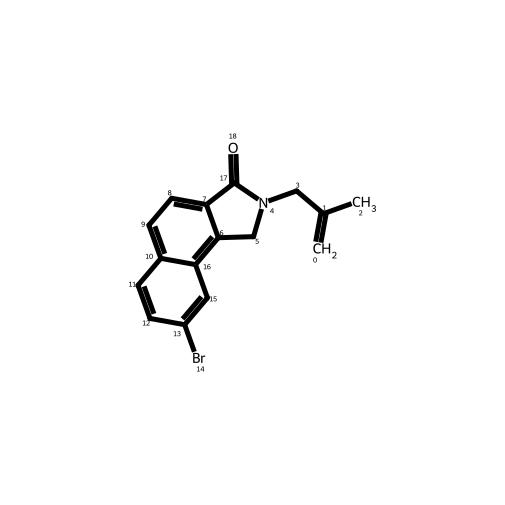 C=C(C)CN1Cc2c(ccc3ccc(Br)cc23)C1=O